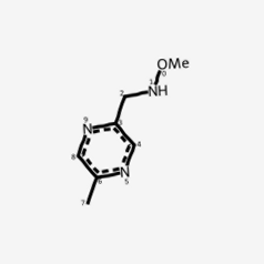 CONCc1cnc(C)cn1